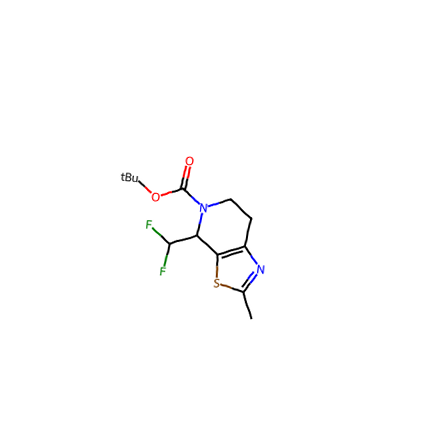 Cc1nc2c(s1)C(C(F)F)N(C(=O)OC(C)(C)C)CC2